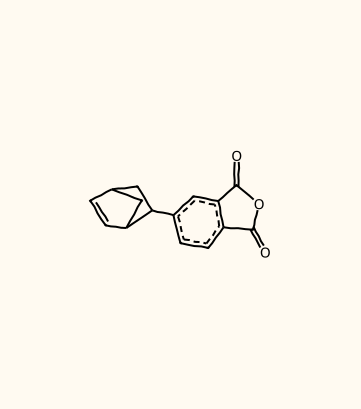 O=C1OC(=O)c2cc(C3CC4C=CC3C4)ccc21